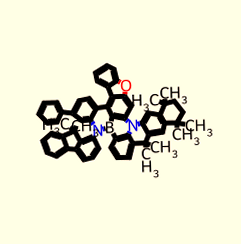 CC1(C)CCC(C)(C)c2cc3c(cc21)N1c2cc4oc5ccccc5c4c4c2B(c2cccc(c21)C3(C)C)N(c1cccc2c1C(C)(C)c1ccccc1-2)c1cc(-c2ccccc2)ccc1-4